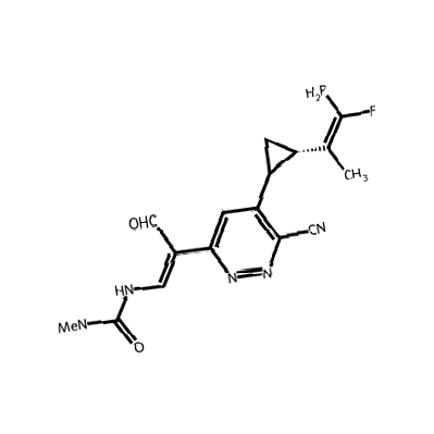 CNC(=O)N/C=C(\C=O)c1cc(C2C[C@@H]2/C(C)=C(/F)P)c(C#N)nn1